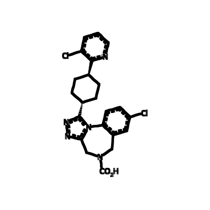 O=C(O)N1Cc2cc(Cl)ccc2-n2c(nnc2[C@H]2CC[C@H](c3ncccc3Cl)CC2)C1